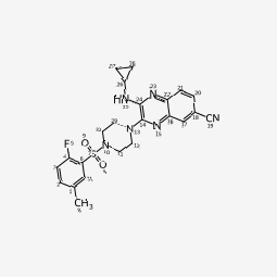 Cc1ccc(F)c(S(=O)(=O)N2CCN(c3nc4cc(C#N)ccc4nc3NC3CC3)CC2)c1